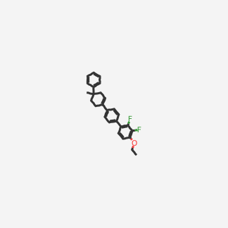 CCOc1ccc(-c2ccc(C3=CCC(C)(c4ccccc4)CC3)cc2)c(F)c1F